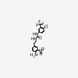 Nc1ccc(CCNC(=O)Nc2ccc(Cl)c(C(F)(F)F)c2)cc1[N+](=O)[O-]